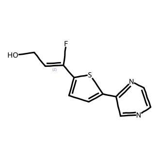 OC/C=C(\F)c1ccc(-c2cnccn2)s1